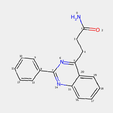 NC(=O)CCc1nc(-c2ccccc2)nc2ccccc12